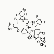 Cn1nc(NS(C)(=O)=O)c2c(Cl)ccc(-n3c([C@H](Cc4cc(F)cc(F)c4)NC(=O)Cn4nc(C(F)F)c5c4C(F)(F)[C@@H]4C[C@H]54)nc4cc(OCc5cncnc5)ccc4c3=O)c21